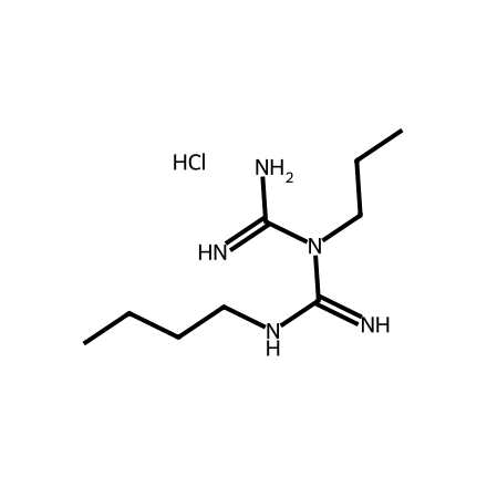 CCCCNC(=N)N(CCC)C(=N)N.Cl